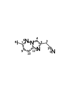 N#CCc1cn2nc(I)ccc2n1